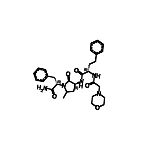 CC1C[C@H](NC(=O)[C@H](CCc2ccccc2)NC(=O)CN2CCOCC2)C(=O)N1[C@@H](Cc1ccccc1)C(N)=O